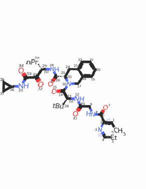 C/C=C(\N=C/CC)C(=O)NCC(=O)N[C@H](C(=O)N1Cc2ccccc2C[C@H]1C(=O)N[C@@H](CCC)C(=O)C(=O)NC1CC1)C(C)(C)C